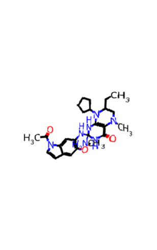 CCC1CN(C)C2=C(N[C@@](N)(Nc3cc4c(ccn4C(C)=O)cc3OC)NC2=O)N1C1CCCC1